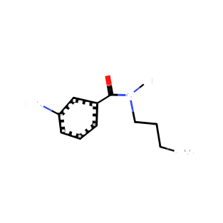 COCCCN(C)C(=O)c1cccc(N)c1